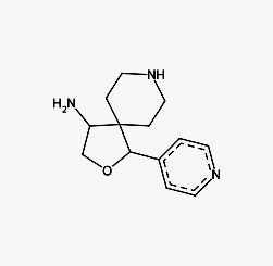 NC1COC(c2ccncc2)C12CCNCC2